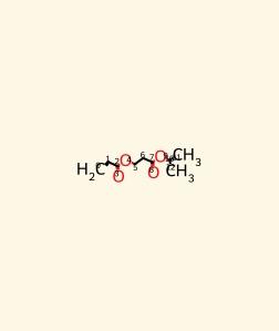 C=CC(=O)OCCC(=O)OC(C)C